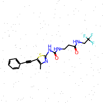 Cc1nc(NC(=O)NCCC(=O)NCC(F)(F)F)sc1C#Cc1ccccc1